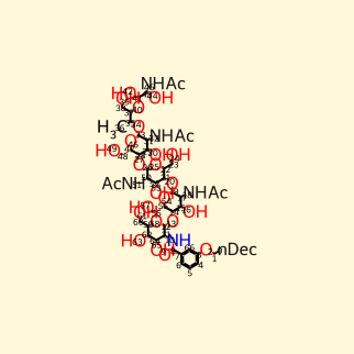 CCCCCCCCCCCOc1cccc(C(=O)N[C@@H]2C(O[C@H]3C(O)C(NC(C)=O)[C@H](OC4C(CO)O[C@@H](O[C@H]5C(O)C(NC(C)=O)C(OC(C)C(CO)OC(O)C(O)NC(C)=O)O[C@H]5CO)[C@@H](NC(C)=O)[C@H]4O)O[C@H]3CO)OC(CO)[C@@H](O)[C@@H]2O)c1